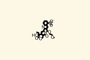 CC[C@@]1(O)C(=O)OCc2c1cc1n(c2=O)C(OCCOC)c2cc3c([N+](=O)[O-])cccc3nc2-1